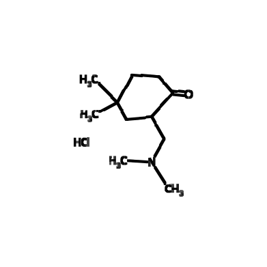 CN(C)CC1CC(C)(C)CCC1=O.Cl